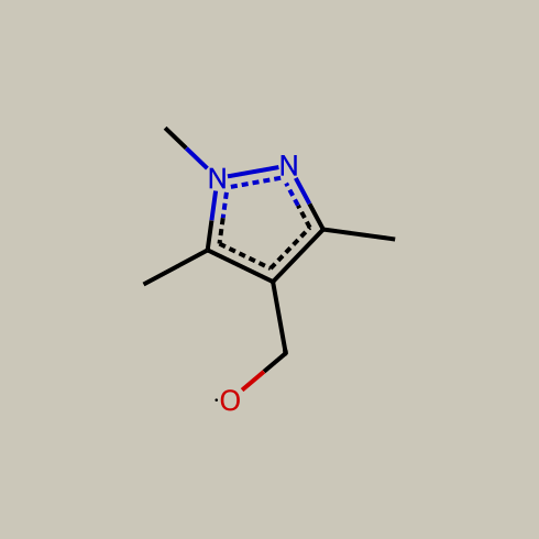 Cc1nn(C)c(C)c1C[O]